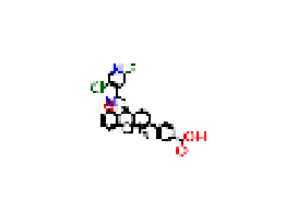 Cc1ccccc1[C@H](C/C(=N\O)c1cc(F)ncc1Cl)c1ccc(-c2ccc(C(=O)O)cc2)cc1